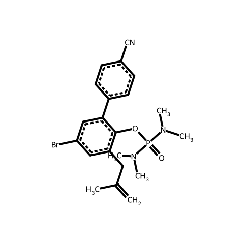 C=C(C)Cc1cc(Br)cc(-c2ccc(C#N)cc2)c1OP(=O)(N(C)C)N(C)C